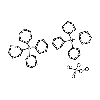 O=S(=O)([O-])O[O-].c1ccc([N+](c2ccccc2)(c2ccccc2)c2ccccc2)cc1.c1ccc([N+](c2ccccc2)(c2ccccc2)c2ccccc2)cc1